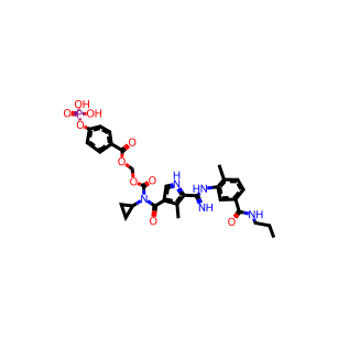 CCCNC(=O)c1ccc(C)c(NC(=N)c2[nH]cc(C(=O)N(C(=O)OCOC(=O)c3ccc(OP(=O)(O)O)cc3)C3CC3)c2C)c1